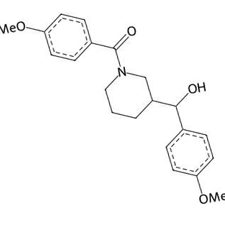 COc1ccc(C(=O)N2CCCC(C(O)c3ccc(OC)cc3)C2)cc1